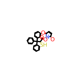 O=C(ON1C(=O)C=CC1=O)C(S)C(c1ccccc1)(c1ccccc1)c1ccccc1